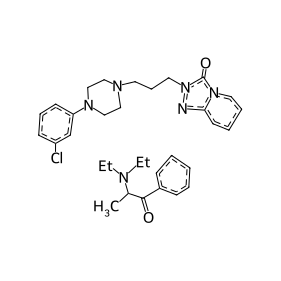 CCN(CC)C(C)C(=O)c1ccccc1.O=c1n(CCCN2CCN(c3cccc(Cl)c3)CC2)nc2ccccn12